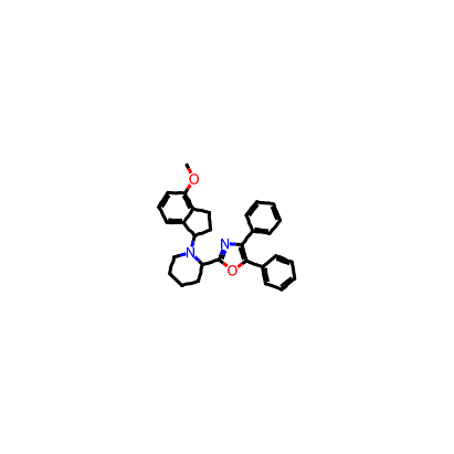 COc1cccc2c1CCC2N1CCCCC1c1nc(-c2ccccc2)c(-c2ccccc2)o1